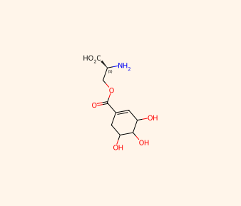 N[C@@H](COC(=O)C1=CC(O)C(O)C(O)C1)C(=O)O